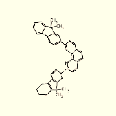 CC1(C)C2=C(CCC=C2)C2=C1CC(c1ccc3ccc4ccc(-c5ccc6c(c5)C(C)(C)c5ccccc5-6)nc4c3n1)C=C2